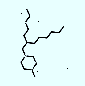 CCCCCCC(CCCCC)CN1CCN(C)CC1